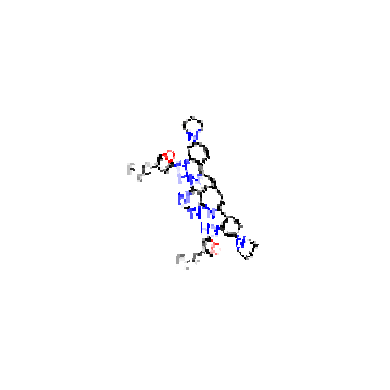 FC(F)(F)c1coc(Nc2cc(N3CCCCC3)ccc2C2=CC3=CC(c4ccc(N5CCCCC5)cc4Nc4cc(C(F)(F)F)co4)=NC4=NC=NC(=N2)C4C3)c1